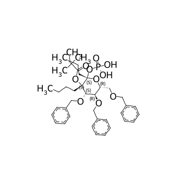 CCCC[C@@]1(OP(=O)(O)O)O[C@H](COCc2ccccc2)[C@@H](OCc2ccccc2)[C@H](OCc2ccccc2)[C@]1(CCCC)OC(=O)C(C)(C)C